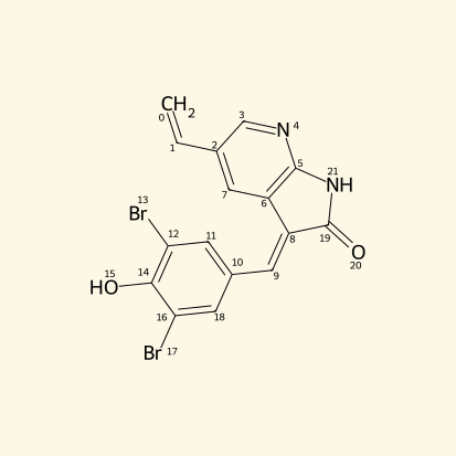 C=Cc1cnc2c(c1)/C(=C\c1cc(Br)c(O)c(Br)c1)C(=O)N2